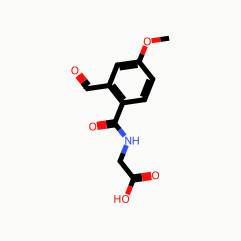 COc1ccc(C(=O)NCC(=O)O)c([C]=O)c1